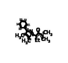 CCC(C(=O)N(C)C)n1nc(-c2ccccc2)c(C)c1C